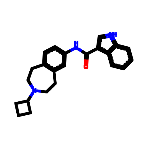 O=C(Nc1ccc2c(c1)CCN(C1CCC1)CC2)c1c[nH]c2ccccc12